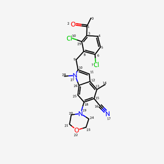 CC(=O)c1ccc(Cl)c(Cc2cc3c(C)c(C#N)c(N4CCOCC4)cc3n2C)c1Cl